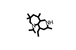 CCC1CC(C)NCC2C(C)CC(C)(C)CN(C(C)C)C12